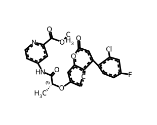 COC(=O)c1cc(NC(=O)[C@@H](C)Oc2ccc3c(-c4ccc(F)cc4Cl)cc(=O)oc3c2)ccn1